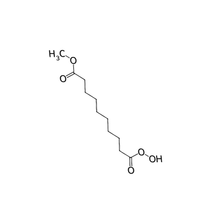 COC(=O)CCCCCCCCC(=O)OO